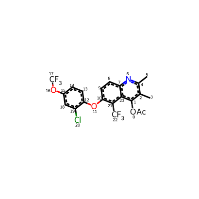 CC(=O)Oc1c(C)c(C)nc2ccc(Oc3ccc(OC(F)(F)F)cc3Cl)c(C(F)(F)F)c12